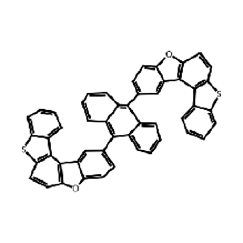 c1ccc2c(c1)sc1ccc3oc4ccc(-c5c6ccccc6c(-c6ccc7oc8ccc9sc%10ccccc%10c9c8c7c6)c6ccccc56)cc4c3c12